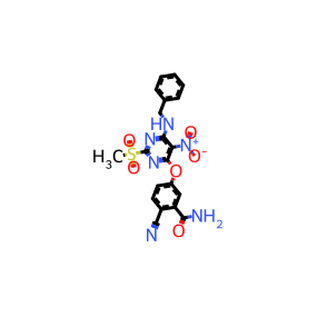 CS(=O)(=O)c1nc(NCc2ccccc2)c([N+](=O)[O-])c(Oc2ccc(C#N)c(C(N)=O)c2)n1